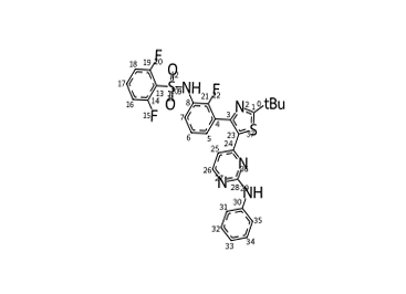 CC(C)(C)c1nc(-c2cccc(NS(=O)(=O)c3c(F)cccc3F)c2F)c(-c2ccnc(Nc3ccccc3)n2)s1